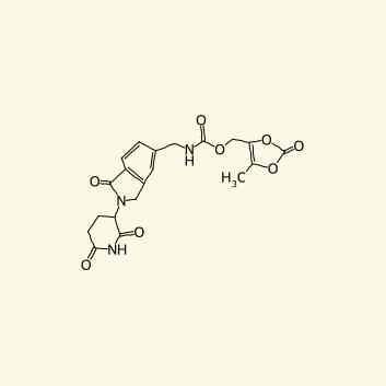 Cc1oc(=O)oc1COC(=O)NCc1ccc2c(c1)CN(C1CCC(=O)NC1=O)C2=O